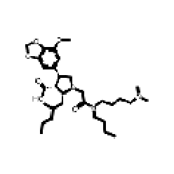 CCCCN(CCCCN(C)C)C(=O)CN1C[C@H](c2cc(OC)c3c(c2)OCO3)[C@@H](C(=O)O)[C@@H]1CC(C)CCC